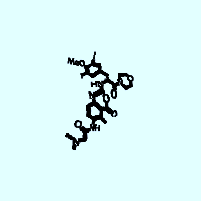 COc1c(I)cc(C[C@H](Nc2nc3ccc(NC(=O)CN(C)C)c(C)c3c(=O)o2)C(=O)N2CCOCC2)cc1I